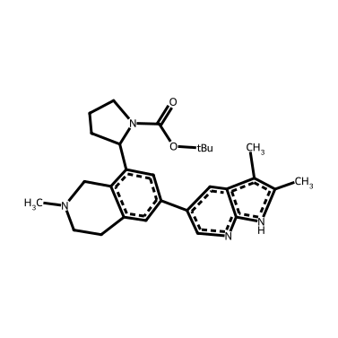 Cc1[nH]c2ncc(-c3cc4c(c(C5CCCN5C(=O)OC(C)(C)C)c3)CN(C)CC4)cc2c1C